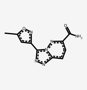 Cc1cc(-c2nnc3ccc(C(N)=O)nn23)no1